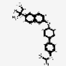 CCC(CC)Oc1ccc(C2CCC(Oc3ccc4cc(C(C)(N)CO)ccc4c3)CC2)cc1